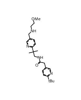 COCCNCc1ccc(C(C)(C)CNC(=O)Cc2ccc(C(C)(C)C)nc2)nc1